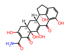 NC(=O)C1=C(O)C[C@@H]2C[C@H]3C(=C(O)[C@]2(O)C1=O)C(=O)c1c(O)ccc2c1[C@]3(O)CC2